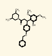 COc1cc(O)c(C(CC(=O)N2CC(C)CC(C)C2)c2ccc(OCc3ccccc3)cc2)c(OC)c1